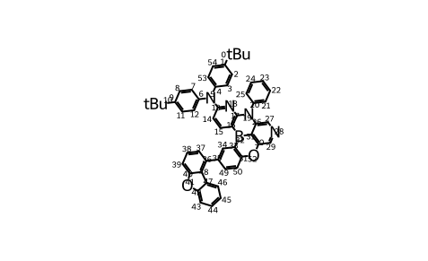 CC(C)(C)c1ccc(N(c2ccc(C(C)(C)C)cc2)c2ccc3c(n2)N(c2ccccc2)c2cncc4c2B3c2cc(-c3cccc5oc6ccccc6c35)ccc2O4)cc1